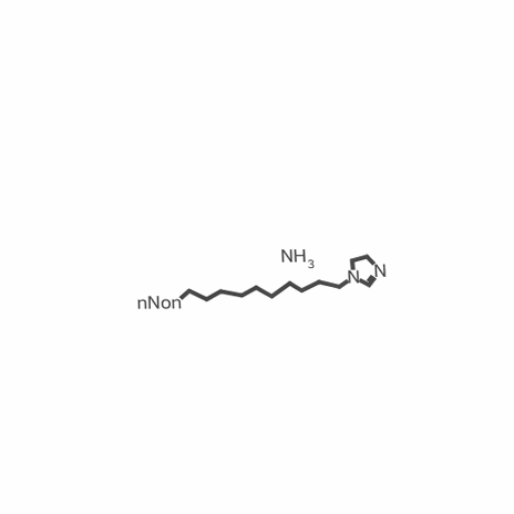 CCCCCCCCCCCCCCCCCCCN1C=NCC1.N